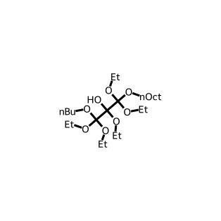 CCCCCCCCOC(OCC)(OCC)C(O)(OCC)C(OCC)(OCC)OCCCC